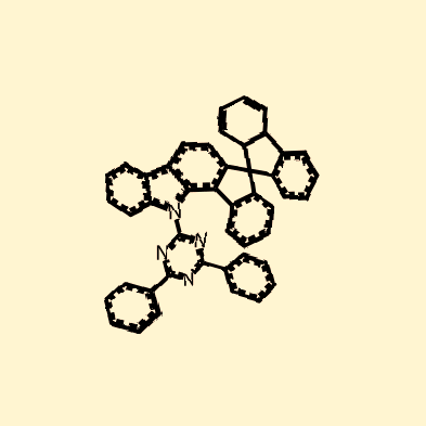 C1=CC2c3ccccc3C3(c4ccccc4-c4c3ccc3c5ccccc5n(-c5nc(-c6ccccc6)nc(-c6ccccc6)n5)c43)C2C=C1